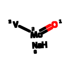 [NaH].[O]=[Mo][V]